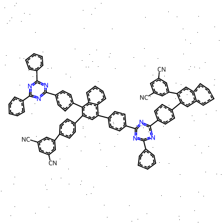 N#Cc1cc(C#N)cc(-c2ccc(-c3cc(-c4ccc(-c5nc(-c6ccccc6)nc(-c6ccc(-c7cc8ccccc8cc7-c7cc(C#N)cc(C#N)c7)cc6)n5)cc4)c4ccccc4c3-c3ccc(-c4nc(-c5ccccc5)nc(-c5ccccc5)n4)cc3)cc2)c1